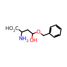 NC(CC(O)OCc1ccccc1)C(=O)O